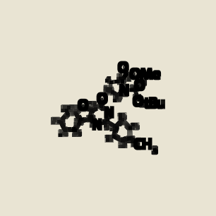 COC(=O)[C@@H]1C[C@@H](Oc2nc(-c3ccc(C)cc3)nc3c2oc2ccccc23)CN1C(=O)OC(C)(C)C